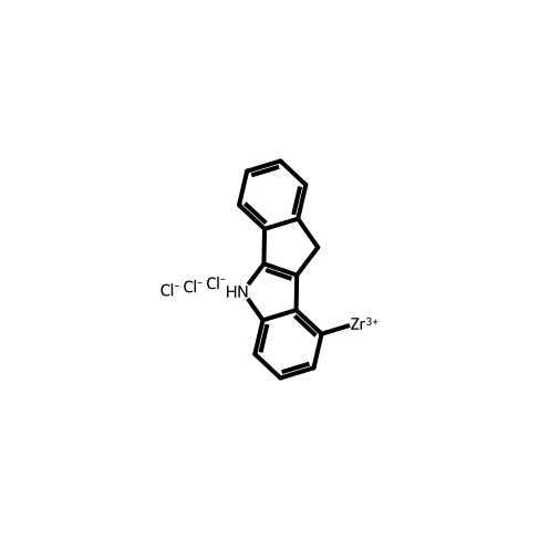 [Cl-].[Cl-].[Cl-].[Zr+3][c]1cccc2[nH]c3c(c12)Cc1ccccc1-3